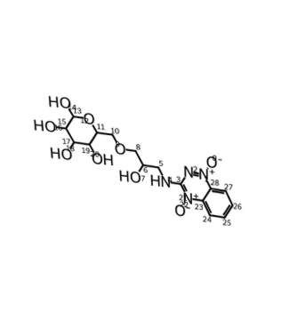 [O-][n+]1nc(NCC(O)COCC2OC(O)C(O)C(O)C2O)[n+]([O-])c2ccccc21